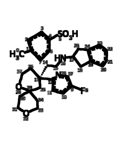 Cc1ccc(S(=O)(=O)O)cc1.Fc1ccc([C@]2(CCNC3Cc4ccccc4C3)CCOC3(CCOCC3)C2)nc1